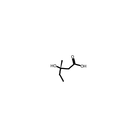 CC[C@](C)(O)CC(=O)O